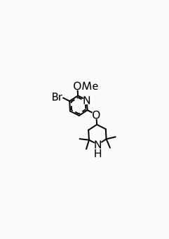 COc1nc(OC2CC(C)(C)NC(C)(C)C2)ccc1Br